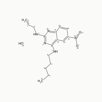 C=CCNc1nc(NCCCCC)c2cc([N+](=O)[O-])ccc2n1.Cl